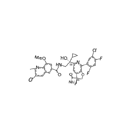 COc1cc(C(=O)NC[C@](O)(c2cc3c(c(-c4cc(Cl)c(F)cc4F)n2)OC[C@]3(C)C(N)=O)C2CC2)cc2cc(Cl)c(C)nc12